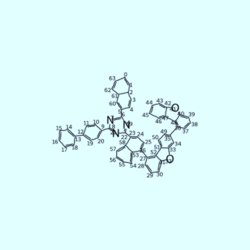 C1=CC2C=CC(c3nc(-c4ccc(-c5ccccc5)cc4)nc(-c4ccc(-c5cccc6oc7cc(-c8cccc9oc%10ccccc%10c89)ccc7c56)c5ccccc45)n3)=CC2C=C1